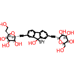 CC(C)C1(O)c2cc(C#C[C@H]3O[C@H](CO)[C@@H](O)[C@H](O)[C@@H]3O)ccc2-c2ccc(C#C[C@H]3O[C@H](CCO)[C@@H](O)[C@H](O)[C@@H]3O)cc21